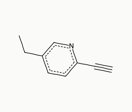 C#Cc1ccc(CC)cn1